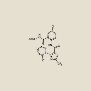 CC(=O)NNC(=O)c1cc(Cl)ccc1NC(=O)c1cc(C(F)(F)F)nn1-c1ncccc1Cl